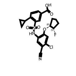 N#Cc1cc(NS(=O)(=O)c2cc(C(=O)O)ccc2C2CC2)c(O[C@@H]2CCC[C@@H]2F)cc1Cl